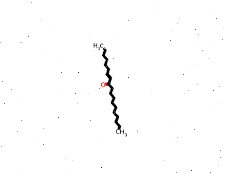 CCCCCCC=CC(=O)CCCCCCCCCC